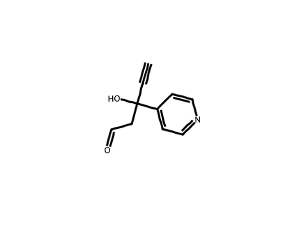 C#CC(O)(CC=O)c1ccncc1